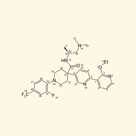 CCOc1ncccc1-c1ccc(C2(C(=O)N[C@@H](C)CN(C)C)CCN(c3ccc(C(F)(F)F)cc3F)CC2)cn1